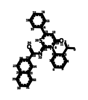 CC(C)c1ccccc1-n1c(=O)cc(-c2ccccc2)sc1=NC(=O)c1ccc2ccccc2c1